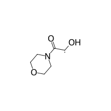 O=C([CH]O)N1CCOCC1